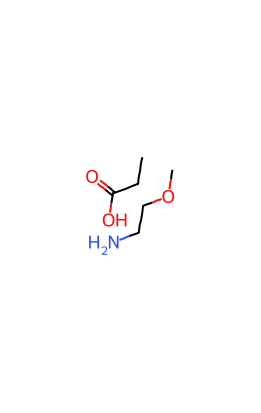 CCC(=O)O.COCCN